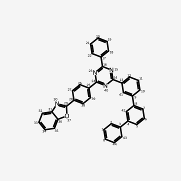 c1ccc(-c2cccc(-c3cccc(-c4nc(-c5ccccc5)nc(-c5ccc(-c6nc7ccccc7o6)cc5)n4)c3)c2)cc1